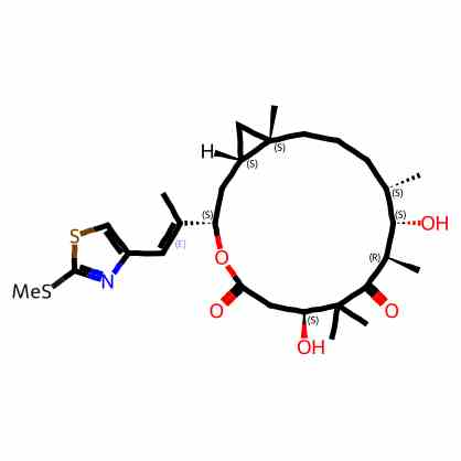 CSc1nc(/C=C(\C)[C@@H]2C[C@@H]3C[C@]3(C)CCC[C@H](C)[C@H](O)[C@@H](C)C(=O)C(C)(C)[C@@H](O)CC(=O)O2)cs1